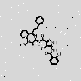 CCCN1C(=O)C(NC(=O)c2n[nH]c(NC(=O)c3ccccc3Cl)c2Cl)N=C(CCc2ccccc2)c2ccccc21